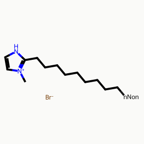 CCCCCCCCCCCCCCCCCCc1[nH]cc[n+]1C.[Br-]